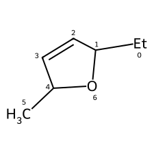 CCC1C=CC(C)O1